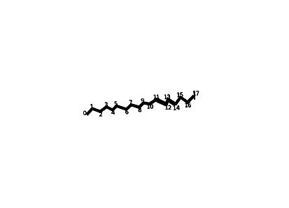 CCCCCCCCCCCC=CC=CCCI